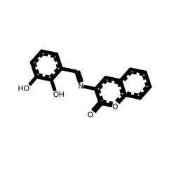 O=c1oc2ccccc2cc1N=Cc1cccc(O)c1O